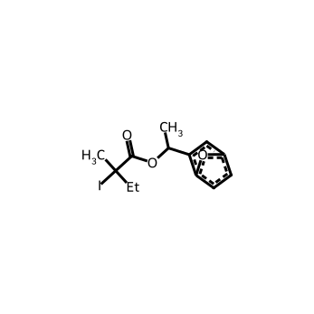 CCC(C)(I)C(=O)OC(C)c1cc2ccc1o2